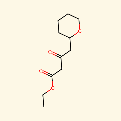 CCOC(=O)CC(=O)CC1CCCCO1